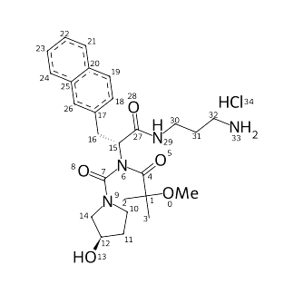 COC(C)(C)C(=O)N(C(=O)N1CC[C@@H](O)C1)[C@H](Cc1ccc2ccccc2c1)C(=O)NCCCN.Cl